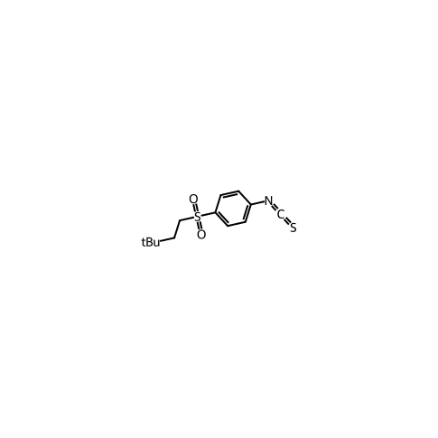 CC(C)(C)CCS(=O)(=O)c1ccc(N=C=S)cc1